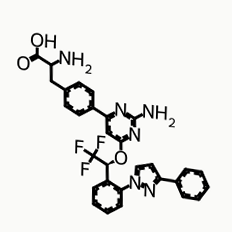 Nc1nc(O[C@@H](c2ccccc2-n2ccc(-c3ccccc3)n2)C(F)(F)F)cc(-c2ccc(CC(N)C(=O)O)cc2)n1